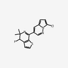 CC1(C)N=C(c2cnn3c(Cl)ccc3c2)c2sccc2C1F